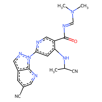 CC(C#N)Nc1cc(-n2ncc3cc(C#N)cnc32)ncc1C(=O)N=CN(C)C